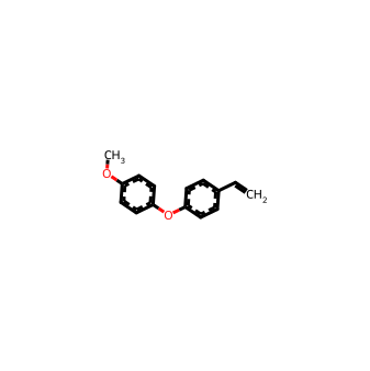 C=Cc1ccc(Oc2ccc(OC)cc2)cc1